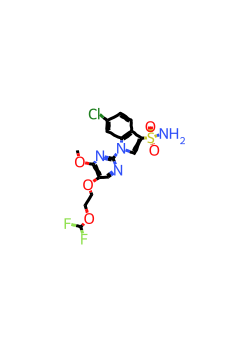 COc1nc(-n2cc(S(N)(=O)=O)c3ccc(Cl)cc32)ncc1OCCOC(F)F